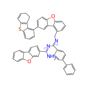 N/C(=N\C(=N/Cc1cccc2oc3ccc(-c4cccc5sc6c(c45)CCC=C6)cc3c12)c1ccc(-c2ccccc2)cc1)c1ccc2c(c1)oc1ccccc12